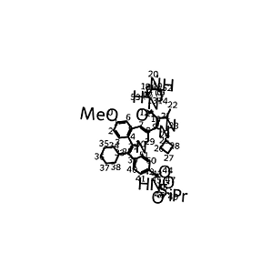 COc1ccc2c(c1)C=C(c1c(C(=O)N3C[C@@H]4C[C@H]3CN4C)c(C)nn1C1CCC1)Cn1c-2c(C2CCCCC2)c2ccc(C(=O)NS(=O)(=O)C(C)C)cc21